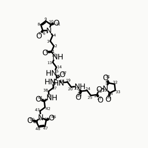 O=C(CCCN1C(=O)C=CC1=O)NCCNP(=O)(NCCNC(=O)CCC(=O)ON1C(=O)CCC1=O)NCCNC(=O)CCN1C(=O)C=CC1=O